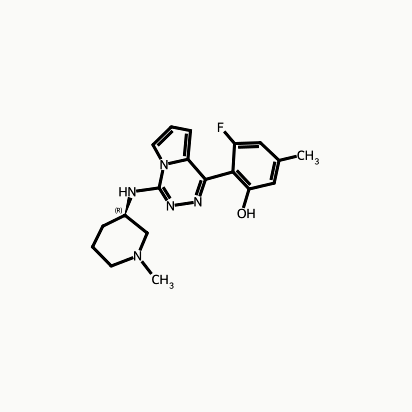 Cc1cc(O)c(-c2nnc(N[C@@H]3CCCN(C)C3)n3cccc23)c(F)c1